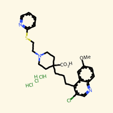 COc1ccc2ncc(Cl)c(CCCC3(C(=O)O)CCN(CCSc4ccccn4)CC3)c2c1.Cl.Cl.Cl